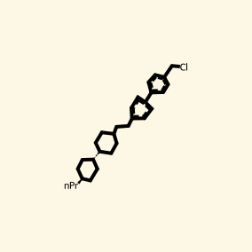 CCC[C@H]1CC[C@H](C2CCC(CCc3ccc(-c4ccc(CCl)cc4)cc3)CC2)CC1